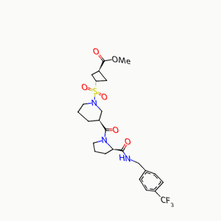 COC(=O)[C@H]1C[C@H](S(=O)(=O)N2CCC[C@H](C(=O)N3CCC[C@@H]3C(=O)NCc3ccc(C(F)(F)F)cc3)C2)C1